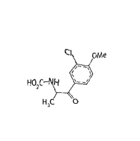 COc1ccc(C(=O)C(C)NC(=O)O)cc1Cl